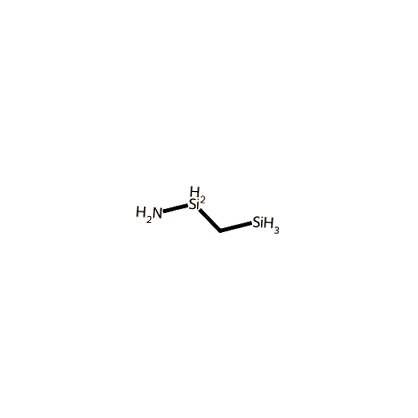 N[SiH2]C[SiH3]